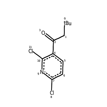 CC(C)(C)CC(=O)c1ccc(Cl)nc1Cl